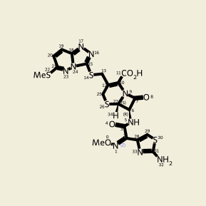 CO/N=C(\C(=O)N[C@@H]1C(=O)N2C(C(=O)O)=C(CSc3nnc4ccc(SC)nn34)CS[C@@H]12)c1csc(N)n1